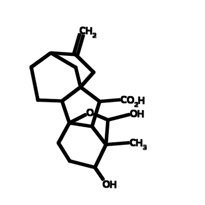 C=C1CC23CC1CCC2C12CCC(O)C(C)(C(O)O1)C2C3C(=O)O